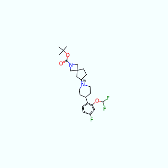 CC(C)(C)OC(=O)N1CC2(CC[C@@H](N3CCC(c4ccc(F)cc4OC(F)F)CC3)C2)C1